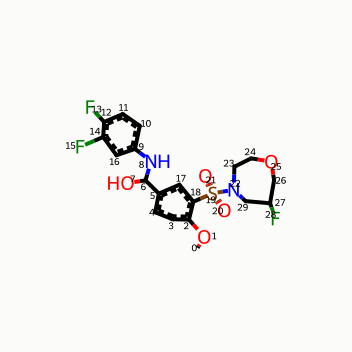 COc1ccc(C(O)Nc2ccc(F)c(F)c2)cc1S(=O)(=O)N1CCOCC(F)C1